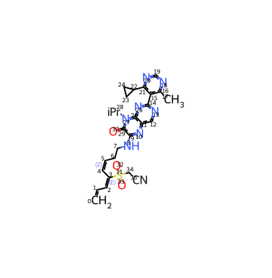 C=C/C=C(\C=C/CCNc1nc2cnc(-c3c(C)ncnc3C3CC3)nc2n(C(C)C)c1=O)S(=O)(=O)CC#N